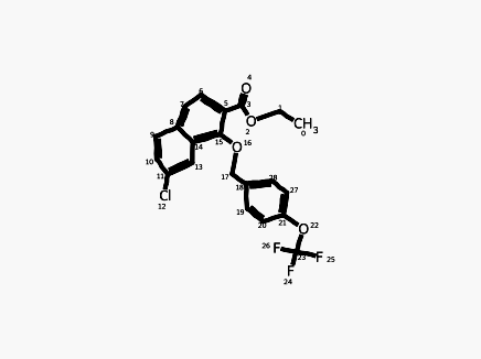 CCOC(=O)c1ccc2ccc(Cl)cc2c1OCc1ccc(OC(F)(F)F)cc1